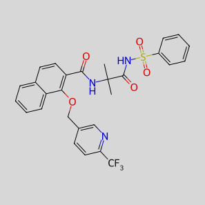 CC(C)(NC(=O)c1ccc2ccccc2c1OCc1ccc(C(F)(F)F)nc1)C(=O)NS(=O)(=O)c1ccccc1